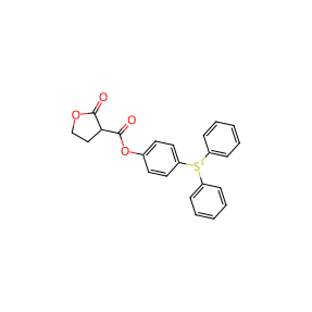 O=C1OCCC1C(=O)Oc1ccc([S+](c2ccccc2)c2ccccc2)cc1